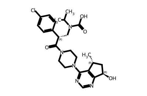 CC(C)N(C[C@H](C(=O)N1CCN(c2ncnc3c2[C@H](C)C[C@H]3O)CC1)c1ccc(Cl)cc1)C(=O)O